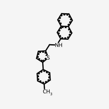 Cc1ccc(-c2ccc(CNc3ccc4ccccc4c3)s2)cc1